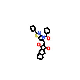 O=C1C(=Cc2cc3sc(-c4ccccc4)nc3n2C(=O)c2ccccc2)C(=O)c2cc3ccccc3cc21